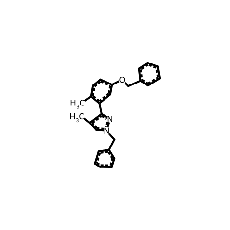 Cc1ccc(OCc2ccccc2)cc1-c1nn(Cc2ccccc2)cc1C